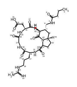 CCCC(=O)NC[C@@H]1C[C@@H]2CC[C@H]3C(=O)N[C@@H](CCCNC(=N)N)C(=O)NCC(=O)N[C@@H](CC(=O)O)C(=O)N[C@H]1C(=O)N23